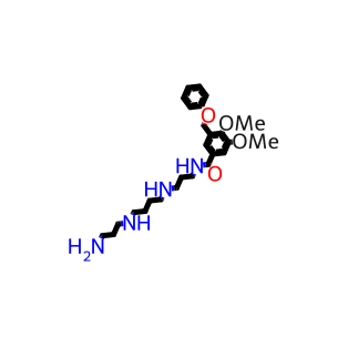 COc1cc(C(=O)NCCCNCCCCNCCCN)cc(COc2ccccc2)c1OC